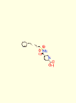 O=C(NS(=O)(=O)CC=CCCc1ccccc1)c1ccc(C(=O)O)nc1